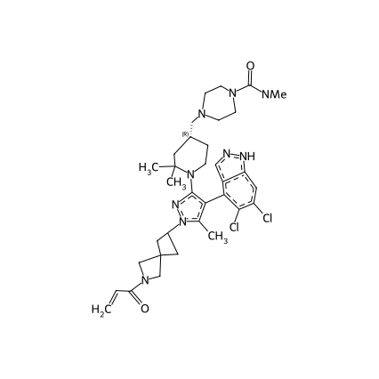 C=CC(=O)N1CC2(CC(n3nc(N4CC[C@@H](CN5CCN(C(=O)NC)CC5)CC4(C)C)c(-c4c(Cl)c(Cl)cc5[nH]ncc45)c3C)C2)C1